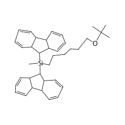 CC(C)(C)OCCCCCC[Si](C)(C1C2C=CC=CC2C2C=CC=CC21)C1C2C=CC=CC2C2C=CC=CC21